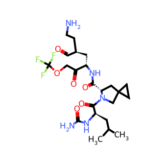 CC(C)C[C@@H](NC(N)=O)C(=O)N1CC2(CC2)C[C@H]1C(=O)N[C@@H](C[C@@H](C=O)CCN)C(=O)COC(F)(F)F